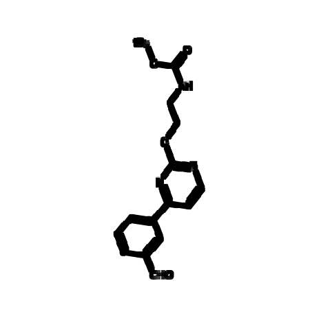 CC(C)(C)OC(=O)NCCOc1nccc(-c2cccc(C=O)c2)n1